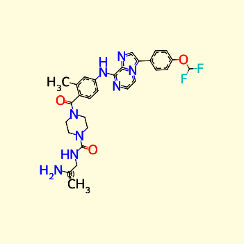 Cc1cc(Nc2nccn3c(-c4ccc(OC(F)F)cc4)cnc23)ccc1C(=O)N1CCN(C(=O)NC[C@@H](C)N)CC1